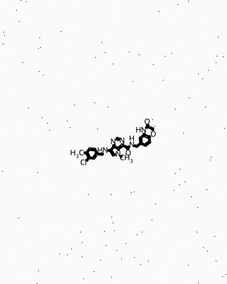 Cc1ccc(CNc2cn(C)c3c(C(=O)NCc4ccc5c(c4)NC(=O)CO5)ncnc23)cc1Cl